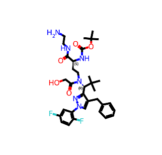 CC(C)(C)OC(=O)N[C@@H](CCN(C(=O)CO)[C@@H](c1nn(-c2cc(F)ccc2F)cc1Cc1ccccc1)C(C)(C)C)C(=O)NCCN